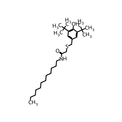 CCCCCCCCCCCCNC(=O)CSCc1cc(C(C)(C)C)c(O)c(C(C)(C)C)c1